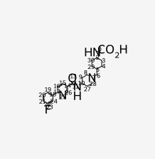 O=C(O)NC1CCC(CN2CCC(NC(=O)c3ccc(-c4cccc(F)c4)nc3)CC2)CC1